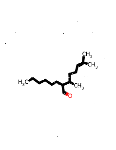 CCCCCCC(C=O)C(C)CCC=C(C)C